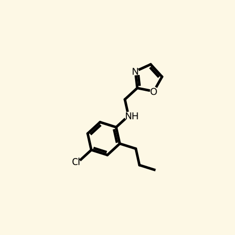 CCCc1cc(Cl)ccc1NCc1ncco1